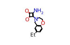 CCc1ccc2c(c1)CN(c1c(N)c(=O)c1=O)CCO2